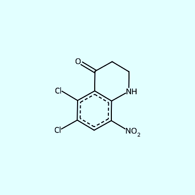 O=C1CCNc2c([N+](=O)[O-])cc(Cl)c(Cl)c21